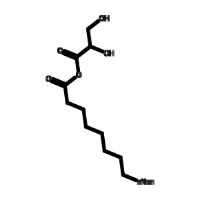 [CH2]CCCCCCCCCCCCCCCC(=O)OC(=O)C(O)CO